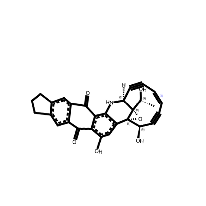 C[C@@H](O)[C@@]12O[C@]13c1cc(O)c4c(c1N[C@H]2C#C/C=C\C#C[C@H]3O)C(=O)c1cc2c(cc1C4=O)CCC2